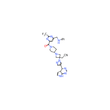 CC(C)NCc1cc(C(=O)N2CCC(N3CC(CC#N)(n4cc(C5N=CN=C6NC=CC65)cn4)C3)CC2)nc(C(F)(F)F)n1